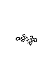 c1cc2c3c(c1)-n1c4ccccc4c4cccc(c41)B3c1cc3c(nc1S2)B1c2c(cccc2-n2c4ccccc4c4cccc1c42)S3